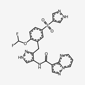 O=C(Nc1c[nH]nc1Cc1cc(S(=O)(=O)c2cn[nH]c2)ccc1OC(F)F)c1cnn2cccnc12